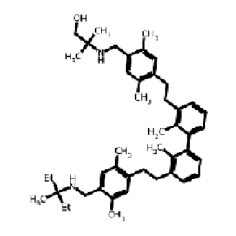 CCC(C)(CC)NCc1cc(C)c(CCc2cccc(-c3cccc(CCc4cc(C)c(CNC(C)(C)CO)cc4C)c3C)c2C)cc1C